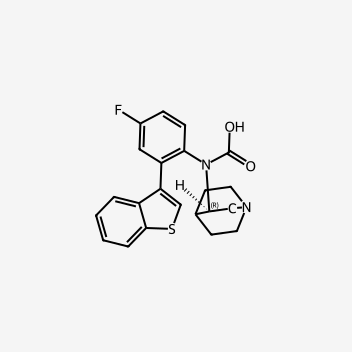 O=C(O)N(c1ccc(F)cc1-c1csc2ccccc12)[C@H]1CN2CCC1CC2